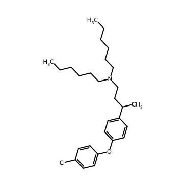 CCCCCCN(CCCCCC)CCC(C)c1ccc(Oc2ccc(Cl)cc2)cc1